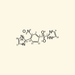 O=[N+]([O-])c1cc(S(=O)(=O)c2ncc[nH]2)ccc1-c1ncc[nH]1